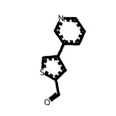 O=Cc1cc(-c2cccnc2)cs1